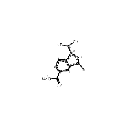 COC(=O)c1ccc2c(c1)c(C)nn2C(F)F